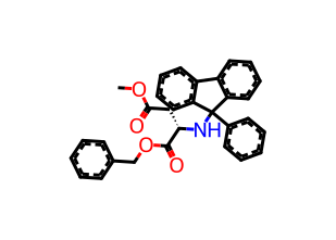 COC(=O)C[C@H](NC1(c2ccccc2)c2ccccc2-c2ccccc21)C(=O)OCc1ccccc1